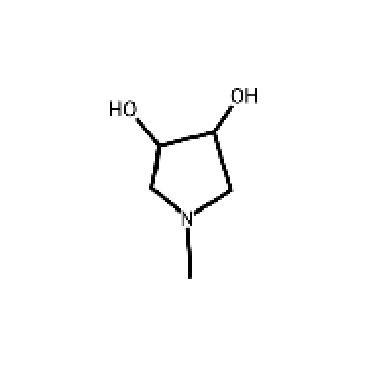 CN1CC(O)C(O)C1